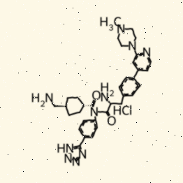 CN1CCN(c2cc(-c3ccc(C[C@H](N)C(=O)N(c4ccc(-c5nnn[nH]5)cc4)C(=O)[C@H]4CC[C@H](CN)CC4)cc3)ccn2)CC1.Cl